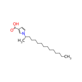 CCCCCCCCCCCCCC(C)n1ccc(C(=O)O)c1